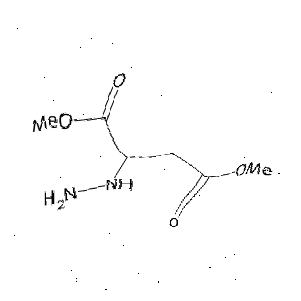 COC(=O)CC(NN)C(=O)OC